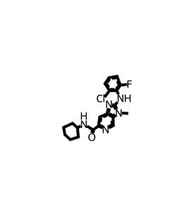 Cn1c(Nc2c(F)cccc2Cl)nc2cc(C(=O)NC3CCCCC3)ncc21